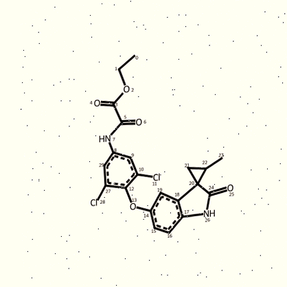 CCOC(=O)C(=O)Nc1cc(Cl)c(Oc2ccc3c(c2)C2(CC2C)C(=O)N3)c(Cl)c1